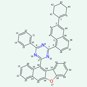 C1=C(c2ccc3c(-c4nc(-c5ccccc5)nc(-c5c6ccccc6cc6oc7ccccc7c56)n4)cccc3c2)CCCC1